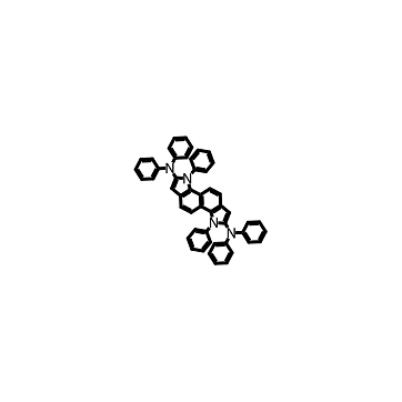 c1ccc(N(c2ccccc2)c2cc3ccc4c(ccc5cc(N(c6ccccc6)c6ccccc6)n(-c6ccccc6)c54)c3n2-c2ccccc2)cc1